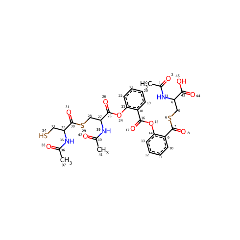 CC(=O)NC(CSC(=O)c1ccccc1OC(=O)c1ccccc1OC(=O)C(CSC(=O)C(CS)NC(C)=O)NC(C)=O)C(=O)O